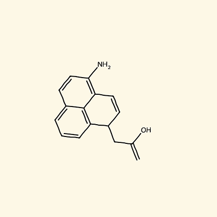 C=C(O)CC1C=Cc2c(N)ccc3cccc1c23